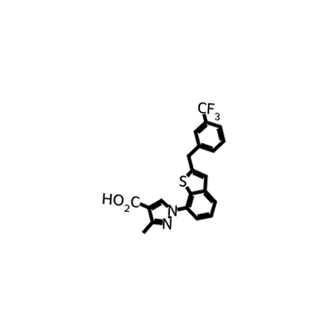 Cc1nn(-c2cccc3cc(Cc4cccc(C(F)(F)F)c4)sc23)cc1C(=O)O